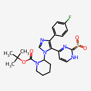 CC(C)(C)OC(=O)N1CCCCC1n1cnc(-c2ccc(F)cc2)c1-c1cc[nH]c(=S(=O)=O)n1